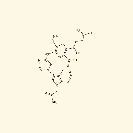 COc1cc(N(C)CCN(C)C)c([N+](=O)[O-])cc1Nc1nccc(-c2cn(CC(N)=O)c3ccccc23)n1